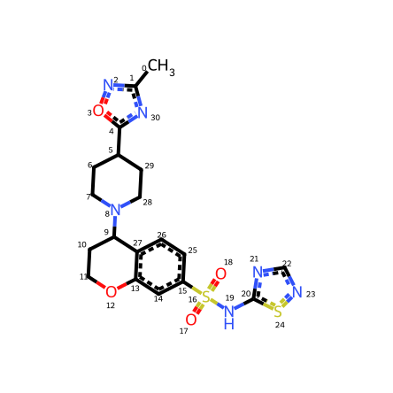 Cc1noc(C2CCN(C3CCOc4cc(S(=O)(=O)Nc5ncns5)ccc43)CC2)n1